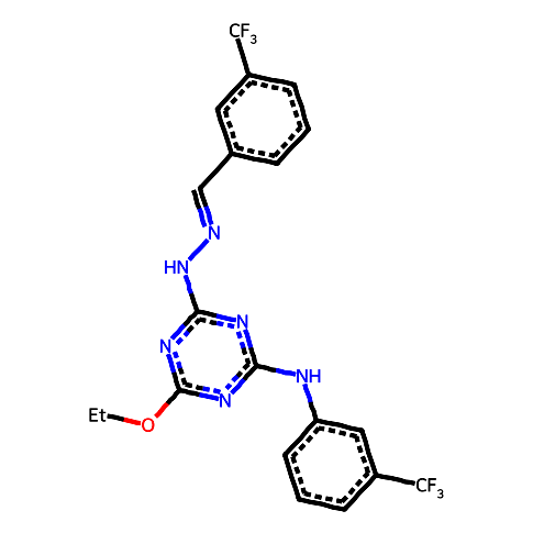 CCOc1nc(N/N=C/c2cccc(C(F)(F)F)c2)nc(Nc2cccc(C(F)(F)F)c2)n1